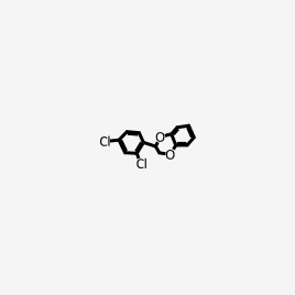 Clc1ccc(C2COc3ccccc3O2)c(Cl)c1